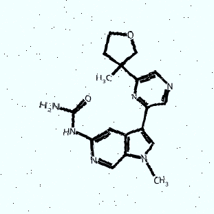 Cn1cc(-c2cncc(C3(C)CCOC3)n2)c2cc(NC(N)=O)ncc21